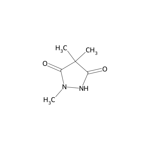 CN1NC(=O)C(C)(C)C1=O